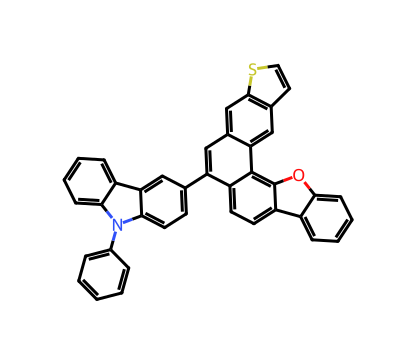 c1ccc(-n2c3ccccc3c3cc(-c4cc5cc6sccc6cc5c5c4ccc4c6ccccc6oc45)ccc32)cc1